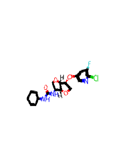 O=C(NC1CCCCC1)N[C@H]1CO[C@H]2[C@@H]1OC[C@@H]2Oc1cnc(Cl)c(F)c1